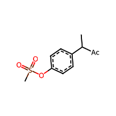 CC(=O)C(C)c1ccc(OS(C)(=O)=O)cc1